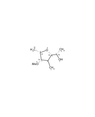 CO[C@H]1C(C)[C@@H]([C@H](C)O)O[C@H]1C